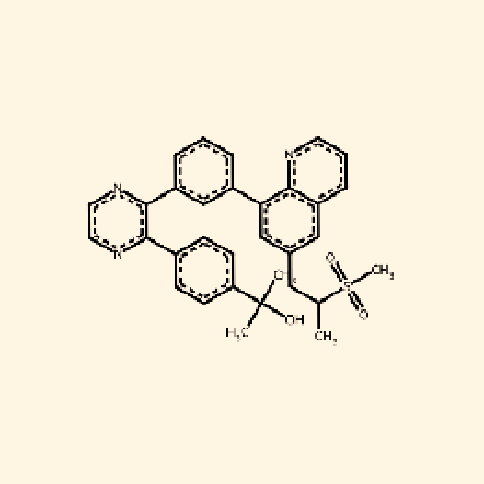 CC(Cc1cc(-c2cccc(-c3nccnc3-c3ccc(C(C)(C)O)cc3)c2)c2ncccc2c1)S(C)(=O)=O